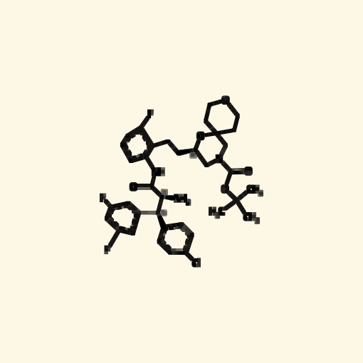 CC(C)(C)OC(=O)N1C[C@@H](CCc2c(F)cccc2NC(=O)[C@@H](N)[C@@H](c2ccc(Cl)cc2)c2cc(F)cc(F)c2)OC2(CCOCC2)C1